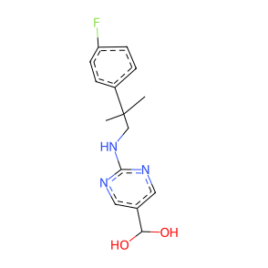 CC(C)(CNc1ncc(C(O)O)cn1)c1ccc(F)cc1